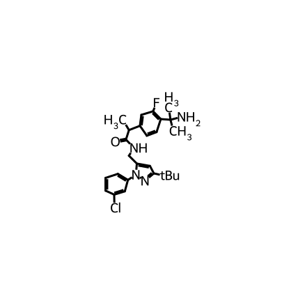 CC(C(=O)NCc1cc(C(C)(C)C)nn1-c1cccc(Cl)c1)c1ccc(C(C)(C)N)c(F)c1